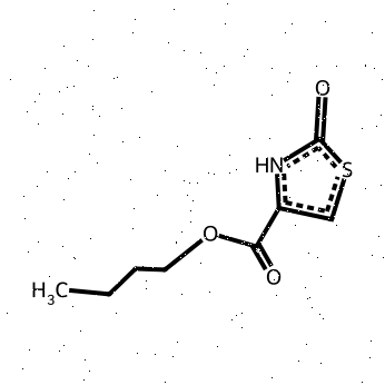 CCCCOC(=O)c1csc(=O)[nH]1